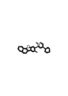 Cc1cc2c(cc1-c1cc(-c3ccccc3)cc[n+]1C)oc1c3ccccc3ccc21